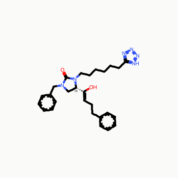 O=C1N(Cc2ccccc2)C[C@@H](C(O)=CCCc2ccccc2)N1CCCCCCc1nnn[nH]1